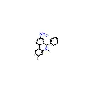 Cc1ccc2c(c1)N(C)C(c1ccccc1)c1cc(N)ccc1-2